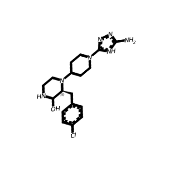 Nc1nnc(N2CCC(N3CCNC(O)[C@@H]3Cc3ccc(Cl)cc3)CC2)[nH]1